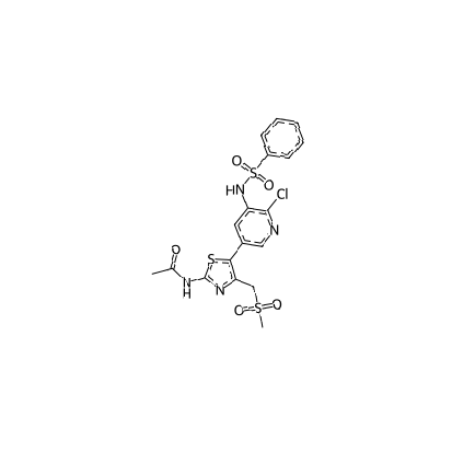 CC(=O)Nc1nc(CS(C)(=O)=O)c(-c2cnc(Cl)c(NS(=O)(=O)c3ccccc3)c2)s1